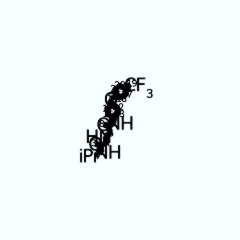 CC(C)NC(=O)CNCC(=O)Nc1ccc(Oc2ccc(C(F)(F)F)cc2)cc1